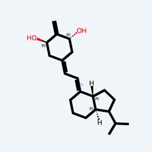 C=C1[C@H](O)CC(=C/C=C2\CCC[C@@H]3C(C(C)C)CC[C@@H]23)C[C@H]1O